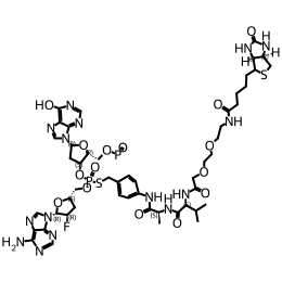 CC(C)[C@H](NC(=O)COCCOCCNC(=O)CCCCC1SC[C@@H]2NC(=O)N[C@H]12)C(=O)N[C@@H](C)C(=O)Nc1ccc(CSP(=O)(OC[C@@H]2C[C@@H](F)[C@H](n3cnc4c(N)ncnc43)O2)O[C@H]2C[C@H](n3cnc4c(O)ncnc43)O[C@@H]2COP=O)cc1